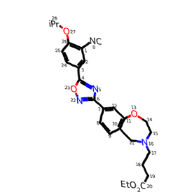 [C-]#[N+]c1cc(-c2nc(-c3ccc4c(c3)OCCN(CCCC(=O)OCC)C4)no2)ccc1OC(C)C